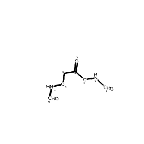 O=CNOCC(=O)ONC=O